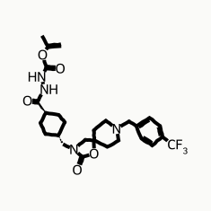 C=C(C)OC(=O)NNC(=O)[C@H]1CC[C@H](CN2CC3(CCN(Cc4ccc(C(F)(F)F)cc4)CC3)OC2=O)CC1